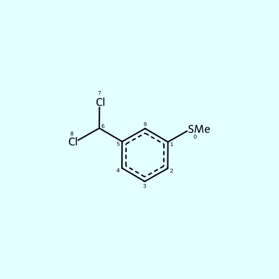 CSc1cccc(C(Cl)Cl)c1